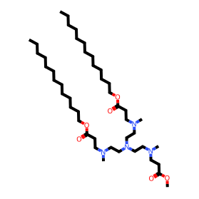 CCCCCCCCCCCCCOC(=O)CCN(C)CCN(CCN(C)CCC(=O)OC)CCN(C)CCC(=O)OCCCCCCCCCCCCC